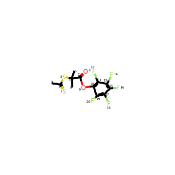 CC(=S)SC(C)(C)C(=O)Oc1c(F)c(F)c(F)c(F)c1F